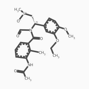 CCOc1cc([C@@H](C[S+](C)[O-])N(C=O)C(=O)c2cccc(NC(C)=O)c2C)ccc1OC